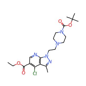 CCOC(=O)c1cnc2c(c(C)nn2CCN2CCN(C(=O)OC(C)(C)C)CC2)c1Cl